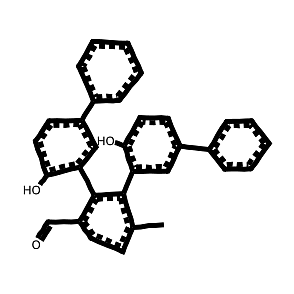 Cc1ccc(C=O)c(-c2cc(-c3ccccc3)ccc2O)c1-c1cc(-c2ccccc2)ccc1O